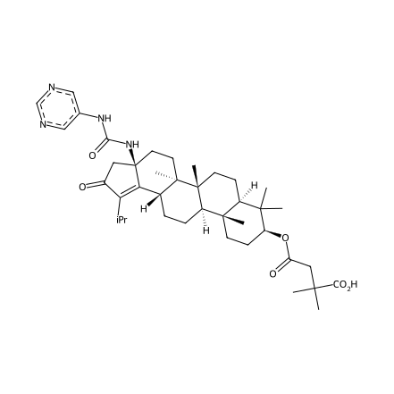 CC(C)C1=C2[C@H]3CC[C@@H]4[C@@]5(C)CC[C@H](OC(=O)CC(C)(C)C(=O)O)C(C)(C)[C@@H]5CC[C@@]4(C)[C@]3(C)CC[C@@]2(NC(=O)Nc2cncnc2)CC1=O